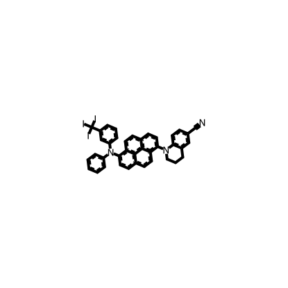 N#Cc1ccc2c(c1)CCCN2c1ccc2ccc3c(N(c4ccccc4)c4cccc(C(I)(I)I)c4)ccc4ccc1c2c43